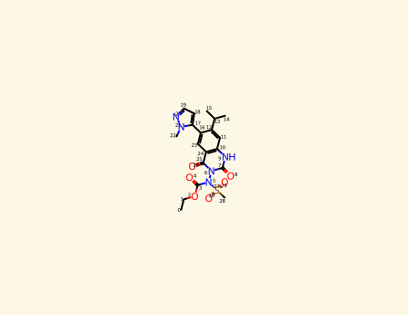 CCOC(=O)N(n1c(=O)[nH]c2cc(C(C)C)c(-c3ccnn3C)cc2c1=O)S(C)(=O)=O